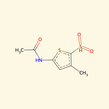 CC(=O)Nc1cc(C)c([SH](=O)=O)s1